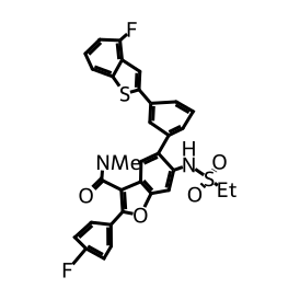 CCS(=O)(=O)Nc1cc2oc(-c3ccc(F)cc3)c(C(=O)NC)c2cc1-c1cccc(-c2cc3c(F)cccc3s2)c1